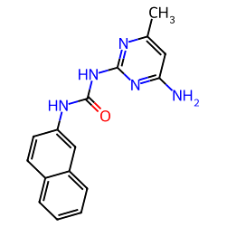 Cc1cc(N)nc(NC(=O)Nc2ccc3ccccc3c2)n1